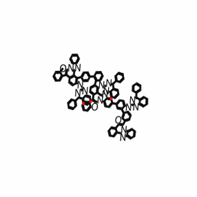 c1ccc(-c2nc(-n3c4ccc(-c5ccc6c(c5)nc5c7c(ccc8c9c(-c%10ccc%11c%12c%13c(ccc%12n(-c%12nc(-c%14ccccc%14)c%14ccccc%14n%12)c%11c%10)c%10c%11ccccc%11oc%10n%10c%11ccccc%11nc%13%10)cccc9n(-c9nc(-c%10ccccc%10)c%10ccccc%10n9)c87)c7c8ccccc8oc7n65)cc4c4c5oc6c7ccccc7c7nc8ccccc8n7c6c5ccc43)nc3ccccc23)cc1